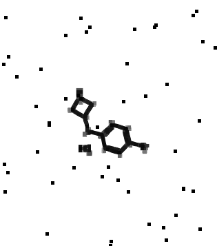 Brc1ccc(SC2CNC2)cc1.Cl